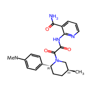 CNc1ccc([C@H]2CC[C@H](C)CN2C(=O)C(=O)Nc2ncccc2C(N)=O)cc1